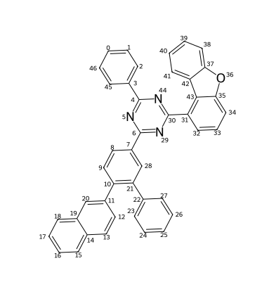 c1ccc(-c2nc(-c3ccc(-c4ccc5ccccc5c4)c(-c4ccccc4)c3)nc(-c3cccc4oc5ccccc5c34)n2)cc1